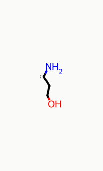 N[C]CCO